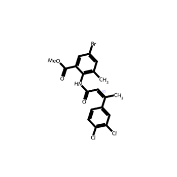 COC(=O)c1cc(Br)cc(C)c1NC(=O)/C=C(/C)c1ccc(Cl)c(Cl)c1